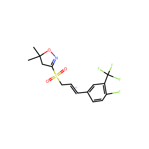 CC1(C)CC(S(=O)(=O)C/C=C/c2ccc(F)c(C(F)(F)F)c2)=NO1